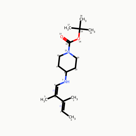 C/C=C(C)/C(C)=C\NC1CCN(C(=O)OC(C)(C)C)CC1